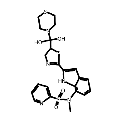 CN(c1cccc2cc(C3=NCC(C(O)(O)N4CCSCC4)S3)[nH]c12)S(=O)(=O)c1ccccn1